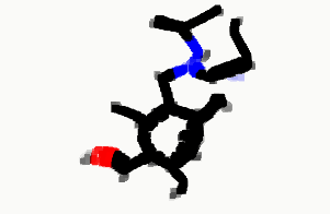 C=C(C)N(/C=C\C)Cc1c(C)cc(C)c(C=O)c1C